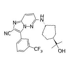 CC(C)(O)[C@H]1CC[C@H](Nc2ccc3nc(C#N)c(-c4cccc(C(F)(F)F)c4)n3n2)CC1